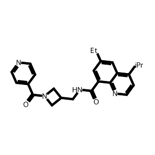 CCc1cc(C(=O)NCC2CN(C(=O)c3ccncc3)C2)c2nccc(C(C)C)c2c1